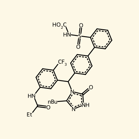 CCCCc1n[nH]c(=O)n1C(c1ccc(-c2ccccc2S(=O)(=O)NC(=O)O)cc1)c1cc(NC(=O)CC)ccc1C(F)(F)F